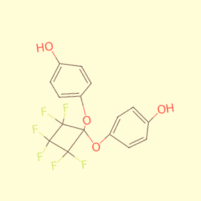 Oc1ccc(OC2(Oc3ccc(O)cc3)C(F)(F)C(F)(F)C2(F)F)cc1